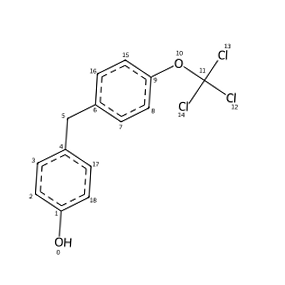 Oc1ccc(Cc2ccc(OC(Cl)(Cl)Cl)cc2)cc1